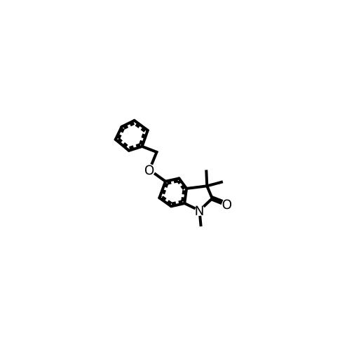 CN1C(=O)C(C)(C)c2cc(OCc3ccccc3)ccc21